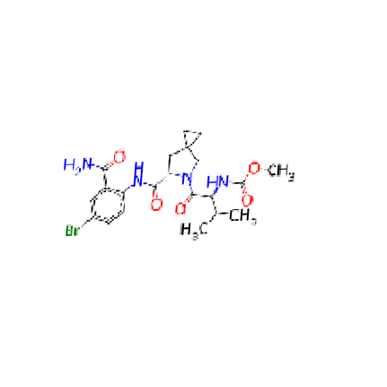 COC(=O)N[C@H](C(=O)N1CC2(CC2)C[C@H]1C(=O)Nc1ccc(Br)cc1C(N)=O)C(C)C